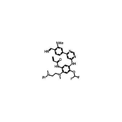 C=CC(=O)Nc1cc(Nc2cc(-c3ccc(C=N)c(NC)c3)ncn2)c(OC(F)F)cc1N(C)CCN(C)C(C)C